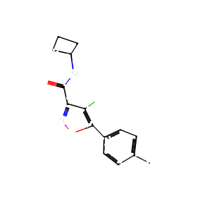 CC(C)(C)c1ccc(-c2onc(C(=O)NC3CCC3)c2Cl)cc1